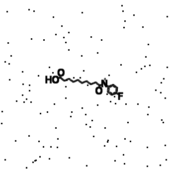 CN(C(=O)CCCCCCCCC(=O)O)c1ccc(F)cc1